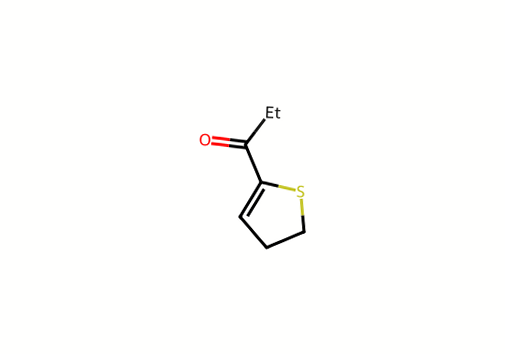 CCC(=O)C1=CCCS1